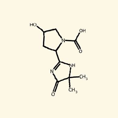 CC1(C)NC(C2CC(O)CN2C(=O)O)=NC1=O